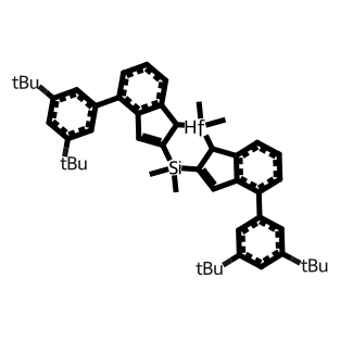 CC(C)(C)c1cc(-c2cccc3c2C=C2[CH]3[Hf]([CH3])([CH3])[CH]3C(=Cc4c(-c5cc(C(C)(C)C)cc(C(C)(C)C)c5)cccc43)[Si]2(C)C)cc(C(C)(C)C)c1